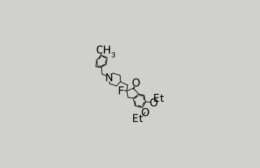 CCOc1cc2c(cc1OCC)C(=O)C(F)(CC1CCN(Cc3ccc(C)cc3)CC1)C2